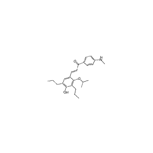 CCCc1cc(/C=C/C(=O)c2ccc(NC)cc2)c(OC(C)C)c(CCC)c1O